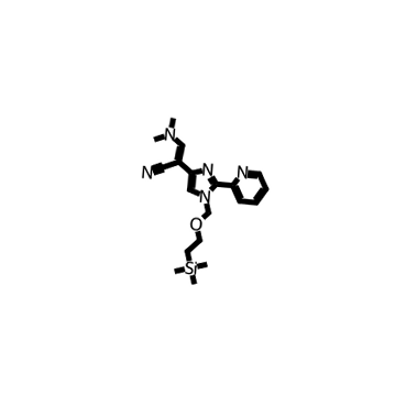 CN(C)C=C(C#N)c1cn(COCC[Si](C)(C)C)c(-c2ccccn2)n1